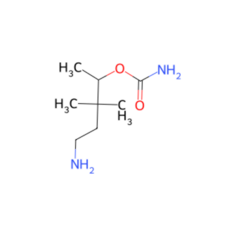 CC(OC(N)=O)C(C)(C)CCN